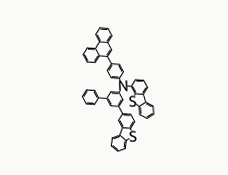 c1ccc(-c2cc(-c3ccc4sc5ccccc5c4c3)cc(N(c3ccc(-c4cc5ccccc5c5ccccc45)cc3)c3cccc4c3sc3ccccc34)c2)cc1